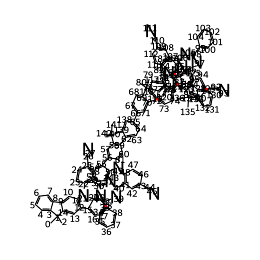 CC1(C)c2ccccc2-c2cc3c(cc21)c1ccccc1n3-c1ccc(C#N)cc1-c1nc(-c2ccccc2)nc(-c2cc(C#N)ccc2-n2c3ccccc3c3cc4c(cc32)-c2ccc(-c3ccc5c(c3)-c3ccc6c(c3C5(C)C)c3ccccc3n6-c3ccc(C#N)cc3-c3nc(-c5ccccc5)nc(-c5cc(C#N)ccc5-n5c6ccccc6c6c7c(ccc65)-c5ccccc5C7(C)C)n3)cc2C4(C)C)n1